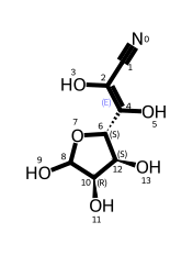 N#C/C(O)=C(\O)[C@H]1OC(O)[C@H](O)[C@@H]1O